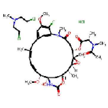 CN(CCCl)CCCl.COc1cc2cc(c1Cl)N(C)C(=O)C[C@H](OC(=O)[C@H](C)N(C)C(C)=O)[C@]1(C)O[C@H]1[C@H](C)[C@@H]1C[C@@](O)(NC(=O)O1)[C@H](OC)/C=C\C=C(\C)C2.Cl